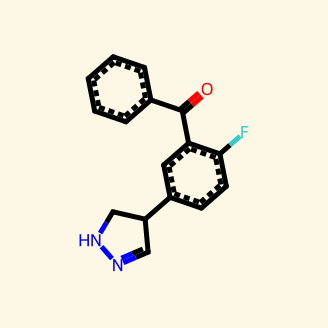 O=C(c1ccccc1)c1cc(C2C=NNC2)ccc1F